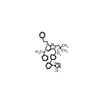 CC(c1ccccc1)N1C=C2C(=NC(CC(C)(C)C)N2Cc2ccc(-c3ccccc3-c3nnn[nH]3)cc2)N(CCc2ccccc2)C1